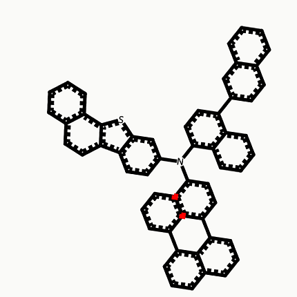 c1ccc(-c2cccc3cccc(-c4ccc(N(c5ccc6c(c5)sc5c7ccccc7ccc65)c5ccc(-c6ccc7ccccc7c6)c6ccccc56)cc4)c23)cc1